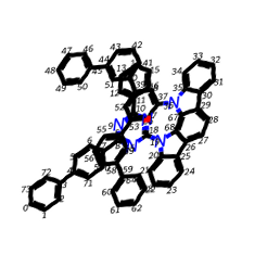 c1ccc(-c2ccc(-c3nc(-c4ccccc4)nc(-n4c5ccccc5c5ccc6c7ccccc7n(-c7cc(-c8cccc(-c9ccccc9)c8)cc(-c8cccc(-c9ccccc9)c8)c7)c6c54)n3)cc2)cc1